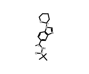 C[C@H](N[S+]([O-])C(C)(C)C)c1ccc2c(c1)ncn2[C@@H]1CCCCO1